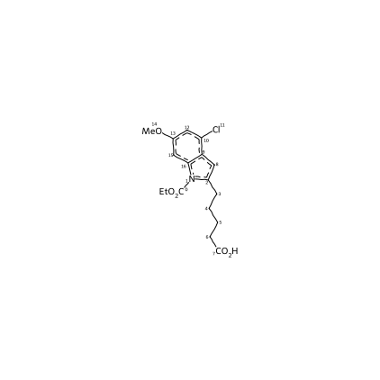 CCOC(=O)n1c(CCCCC(=O)O)cc2c(Cl)cc(OC)cc21